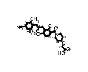 C/C(=C\c1c(C)cc(C#N)cc1C)Cc1c(Cl)ccc(C(=O)N2CCC(OCC(=O)O)CC2)c1Cl